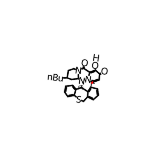 CCCCC1CCN2C(=O)c3c(O)c(=O)ccn3N([C@H]3c4ccccc4SCc4cccc(F)c43)C2C1